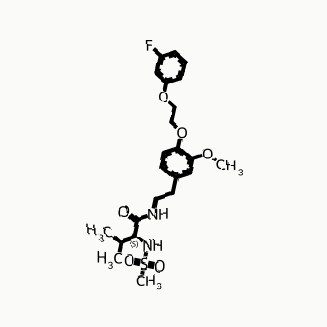 COc1cc(CCNC(=O)[C@@H](NS(C)(=O)=O)C(C)C)ccc1OCCOc1cccc(F)c1